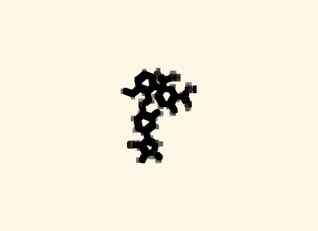 CCc1cccc(C2(C(=O)O)C=CC(C)=C(C(=O)O)C2)c1COc1ccc(-c2nn(C)c(C)c2Cl)cc1C